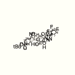 CO[C@@H]1[C@@H](n2cc(-c3ccc(F)c(F)c3F)nn2)[C@@H](O)[C@@H](CO)O[C@@H]1C[C@H]1CC(C2CCN(C(=O)OC(C)(C)C)CC2)=NO1